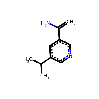 C=C(N)c1cncc(C(C)C)c1